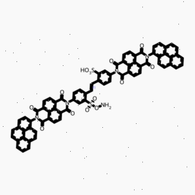 NOS(=O)(=O)c1cc(N2C(=O)c3ccc4c5c(ccc(c35)C2=O)C(=O)N(c2ccc3ccc5cccc6ccc2c3c56)C4=O)ccc1/C=C/c1ccc(N2C(=O)c3ccc4c5c(ccc(c35)C2=O)C(=O)N(c2ccc3ccc5cccc6ccc2c3c56)C4=O)cc1S(=O)(=O)O